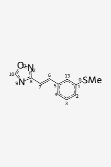 CSc1cccc(/C=C/c2ncon2)c1